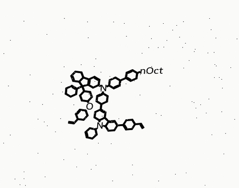 C=CC1C=CC(OC2CCC(C3(C4=CCCCC4)C4=C(C=CC(N(C5=CCC(C6=CC7C8=CC(C9=CCC(C=C)CC9)CCC8N(C8CC=CCC8)C7CC6)CC5)C5C=CC(C6=CCC(CCCCCCCC)C=C6)CC5)C4)C4CCC=CC43)CC2)CC1